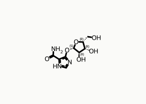 NC(=O)c1[nH]cnc1O[C@@H]1O[C@H](CO)[C@H](O)[C@H]1O